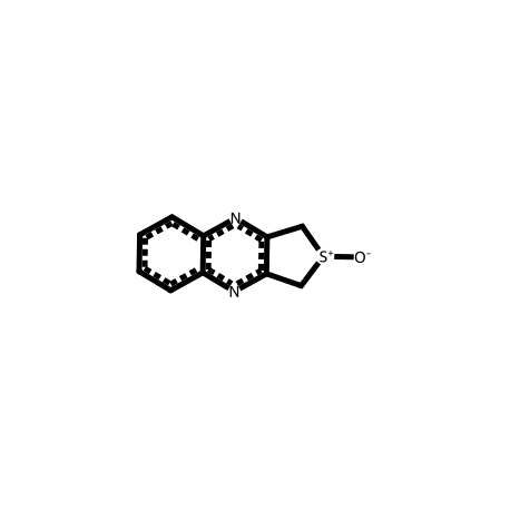 [O-][S+]1Cc2nc3ccccc3nc2C1